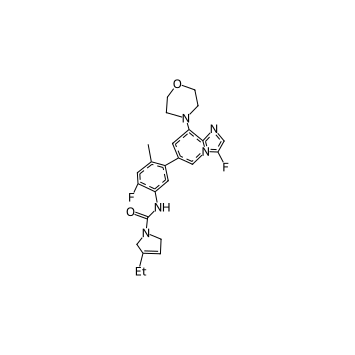 CCC1=CCN(C(=O)Nc2cc(-c3cc(N4CCOCC4)c4ncc(F)n4c3)c(C)cc2F)C1